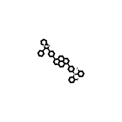 Fc1ccccc1N(c1ccc(-c2ccc3ccc4c(-c5ccc(-c6nc7ccccn7c6-c6ccccc6)cc5)ccc5ccc2c3c54)cc1)c1ccccc1F